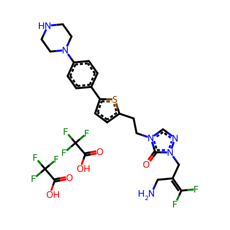 NCC(Cn1ncn(CCc2ccc(-c3ccc(N4CCNCC4)cc3)s2)c1=O)=C(F)F.O=C(O)C(F)(F)F.O=C(O)C(F)(F)F